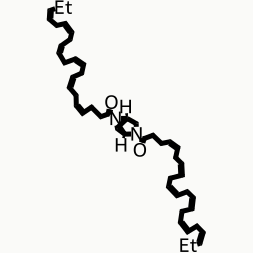 CC/C=C\C/C=C\C/C=C\C/C=C\C/C=C\C/C=C\CCC(=O)N1C[C@@H]2C[C@H]1CN2C(=O)CC/C=C\C/C=C\C/C=C\C/C=C\C/C=C\C/C=C\CC